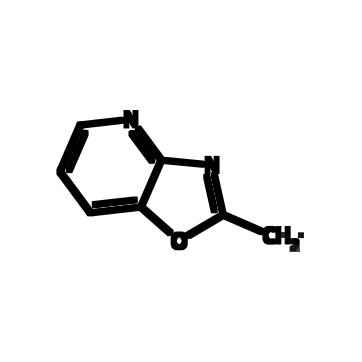 [CH2]c1nc2ncccc2o1